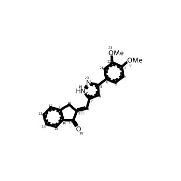 COc1ccc(-c2cc(/C=C3\Cc4ccccc4C3=O)[nH]n2)cc1OC